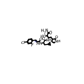 NC(=O)C(O)C(CC1CCNC1=O)NC(=O)C(CC1CC1)NC(=O)/C=C/c1ccc(Cl)cc1F